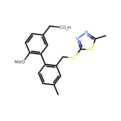 COc1ccc(CC(=O)O)cc1-c1ccc(C)cc1CSc1nnc(C)s1